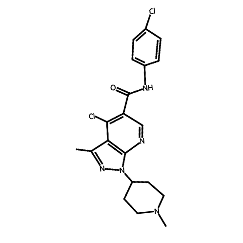 Cc1nn(C2CCN(C)CC2)c2ncc(C(=O)Nc3ccc(Cl)cc3)c(Cl)c12